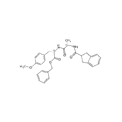 COc1ccc(C[C@H](NC(=O)[C@H](C)NC(=O)C2Cc3ccccc3C2)C(=O)OCc2ccccc2)cc1